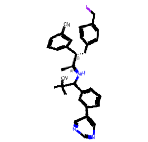 C[C@H](NC(c1cccc(-c2cncnc2)c1)C(C)(C)C#N)[C@@H](Cc1ccc(CI)cc1)c1cccc(C#N)c1